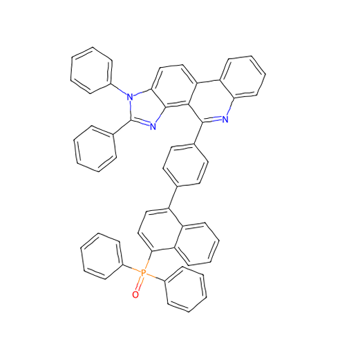 O=P(c1ccccc1)(c1ccccc1)c1ccc(-c2ccc(-c3nc4ccccc4c4ccc5c(nc(-c6ccccc6)n5-c5ccccc5)c34)cc2)c2ccccc12